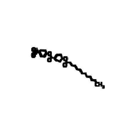 CCCCCCCCCCCCC(=O)O[C@H]1CC[C@H](C(=O)Oc2ccc([N+](=O)[O-])cc2)CC1